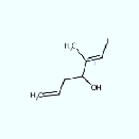 C=CCC(O)/C(C)=C/I